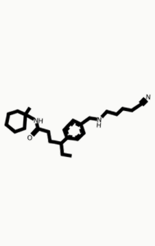 CCC(CCC(=O)NC1(C)CCCCC1)c1ccc(CNCCCCC#N)cc1